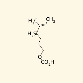 CC=C(C)[SiH2]CCCOC(=O)O